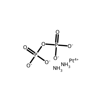 N.N.O=P([O-])([O-])OP(=O)([O-])[O-].[Pt+4]